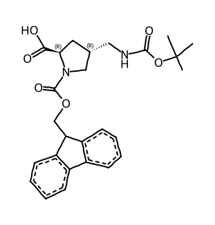 CC(C)(C)OC(=O)NC[C@H]1C[C@H](C(=O)O)N(C(=O)OCC2c3ccccc3-c3ccccc32)C1